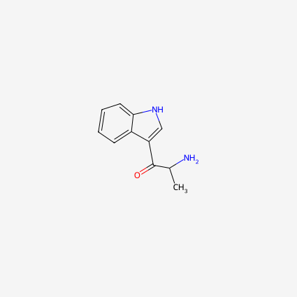 CC(N)C(=O)c1c[nH]c2ccccc12